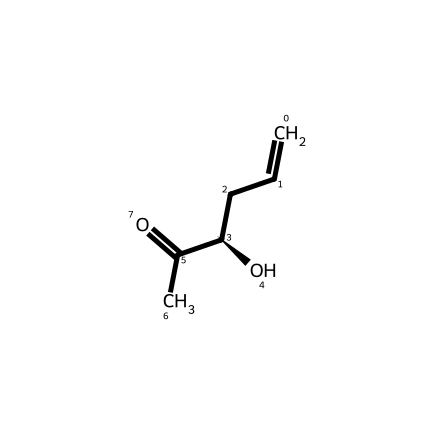 C=CC[C@@H](O)C(C)=O